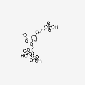 COC(=O)c1cc(OCCCOS(=O)(=O)O)ccc1OCC(COS(=O)(=O)O)OS(=O)(=O)O